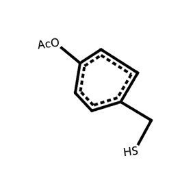 CC(=O)Oc1ccc(CS)cc1